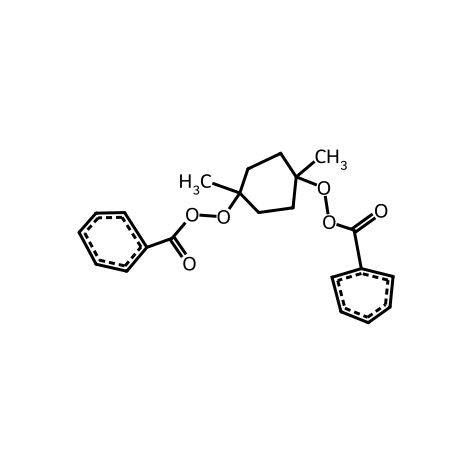 CC1(OOC(=O)c2ccccc2)CCC(C)(OOC(=O)c2ccccc2)CC1